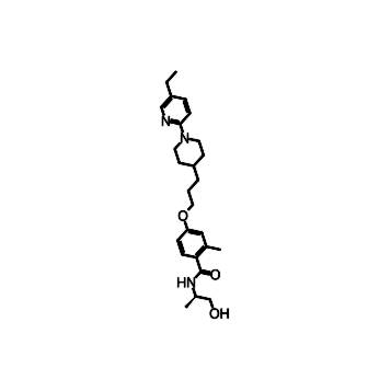 CCc1ccc(N2CCC(CCCOc3ccc(C(=O)N[C@H](C)CO)c(C)c3)CC2)nc1